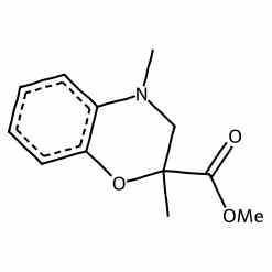 COC(=O)C1(C)CN(C)c2ccccc2O1